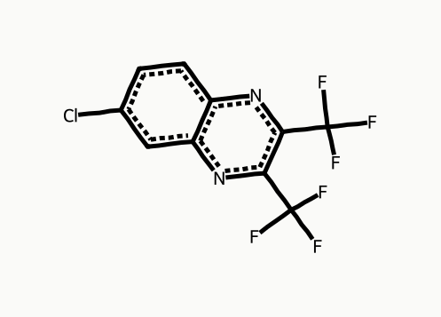 FC(F)(F)c1nc2ccc(Cl)cc2nc1C(F)(F)F